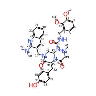 COc1cccc(CNC(=O)N2C3CN(Cc4cc5ccccc5nc4N(C)C)C(=O)[C@H](Cc4ccc(O)cc4)N3C(=O)CN2C)c1OC